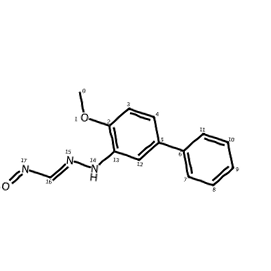 COc1ccc(-c2ccccc2)cc1N/N=C/N=O